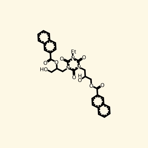 CCn1c(=O)n(CC(O)COC(=O)c2ccc3ccccc3c2)c(=O)n(CC(CO)OC(=O)c2ccc3ccccc3c2)c1=O